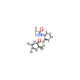 CCC(=O)Nc1ccccc1COc1cc(C)c(C)cc1C(F)F